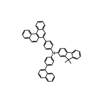 CC1(C)c2ccccc2-c2ccc(N(c3ccc(-c4cccc5ccccc45)cc3)c3ccc(-c4cc5ccccc5c5c4ccc4ccccc45)cc3)cc21